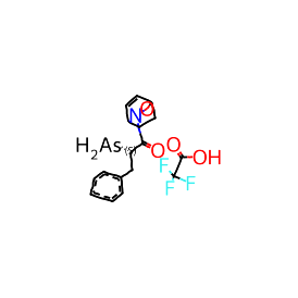 O=C(O)C(F)(F)F.O=C([C@@H]([AsH2])Cc1ccccc1)N1OC2C=CC1CC2